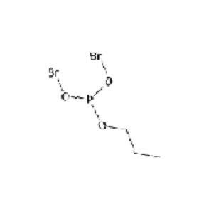 CCCOP(OBr)OBr